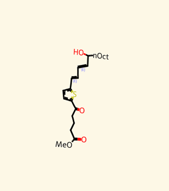 CCCCCCCCC(O)/C=C/C=C/c1ccc(C(=O)CCCC(=O)OC)s1